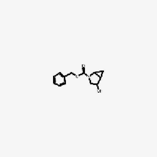 O=C(OCc1ccccc1)N1CC(O)C2CC21